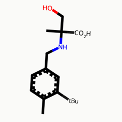 Cc1ccc(CNC(C)(CO)C(=O)O)cc1C(C)(C)C